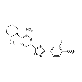 CC1CCCCN1c1ccc(-c2nc(-c3ccc(C(=O)O)c(F)c3)no2)cc1[N+](=O)[O-]